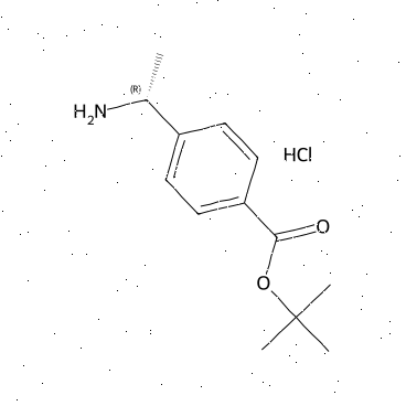 C[C@@H](N)c1ccc(C(=O)OC(C)(C)C)cc1.Cl